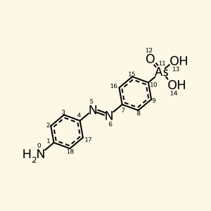 Nc1ccc(N=Nc2ccc([As](=O)(O)O)cc2)cc1